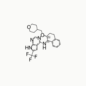 FC(F)(F)c1cc2c(N[C@H]3c4ccccc4CC[C@@H]3OCC3CCOCC3)ncnc2[nH]1